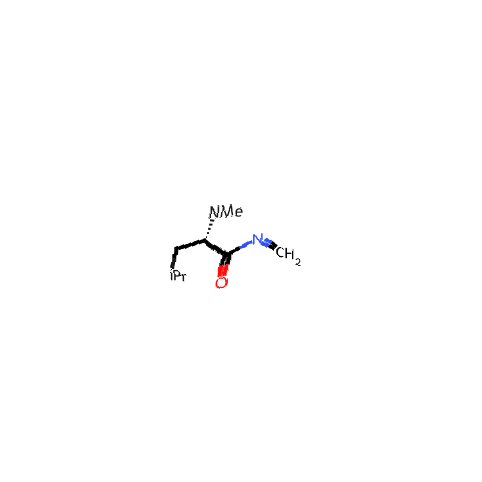 C=NC(=O)[C@H](CC(C)C)NC